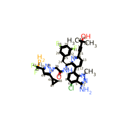 Cn1nc(N)c2c(Cl)ccc(-c3ccc(C#CC(C)(C)O)nc3[C@H](Cc3cc(F)cc(F)c3)NC(=O)Cn3nc(C(F)(F)P)cc3C3CC3)c21